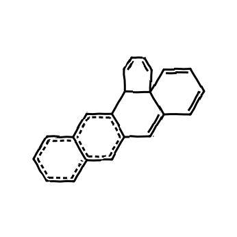 [C]1=C2C=CC=CC23C=CC=CC3c2cc3ccccc3cc21